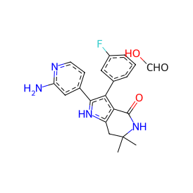 CC1(C)Cc2[nH]c(-c3ccnc(N)c3)c(-c3cccc(F)c3)c2C(=O)N1.O=CO